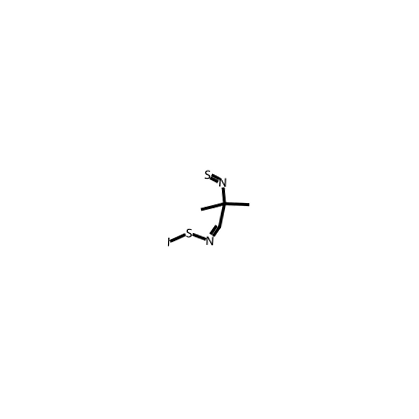 CC(C)(/C=N\SI)N=S